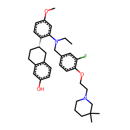 CCN(Cc1ccc(OCCN2CCCC(C)(C)C2)c(F)c1)c1cc(OC)ccc1[C@H]1CCc2cc(O)ccc2C1